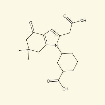 CC1(C)CC(=O)c2cc(CC(=O)O)n(C3CCCC(C(=O)O)C3)c2C1